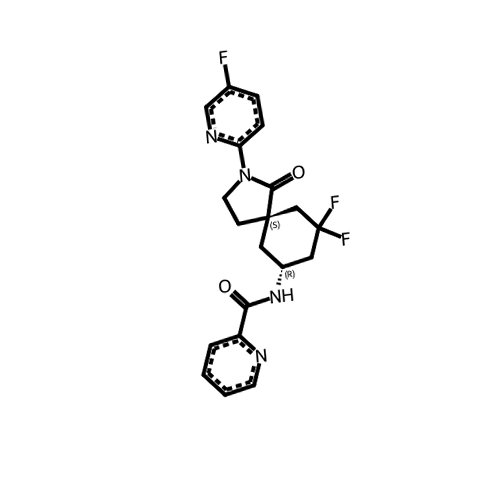 O=C(N[C@H]1CC(F)(F)C[C@]2(CCN(c3ccc(F)cn3)C2=O)C1)c1ccccn1